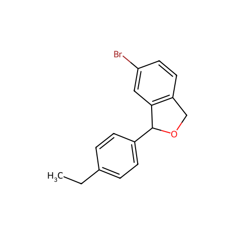 CCc1ccc(C2OCc3ccc(Br)cc32)cc1